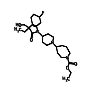 CCOC(=O)N1CCCC(N2CCC(N3C(=O)C(CC)(CO)C4=C3CC(F)CC4)CC2)CC1